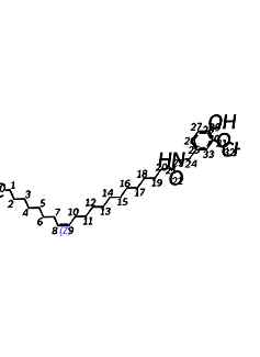 CCCCCCCC/C=C\CCCCCCCCCCCC(=O)NCc1ccc(O)c(OC)c1